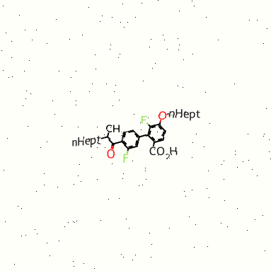 CCCCCCCOc1ccc(C(=O)O)c(-c2ccc(C(=O)C(C)CCCCCCC)c(F)c2)c1F